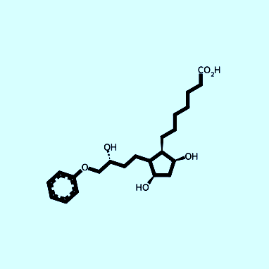 O=C(O)CCCCCC[C@@H]1C(CC[C@@H](O)COc2ccccc2)[C@H](O)C[C@@H]1O